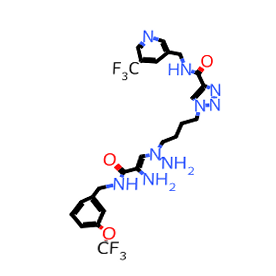 N/C(=C\N(N)CCCCn1cc(C(=O)NCc2cncc(C(F)(F)F)c2)nn1)C(=O)NCc1cccc(OC(F)(F)F)c1